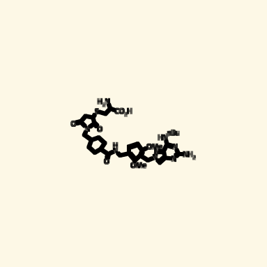 CCCCNc1nc(N)nc2cn(Cc3c(OC)ccc(CNC(=O)C4CCC(CN5C(=O)CC(SCC(N)C(=O)O)C5=O)CC4)c3OC)nc12